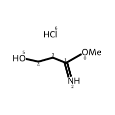 COC(=N)CCO.Cl